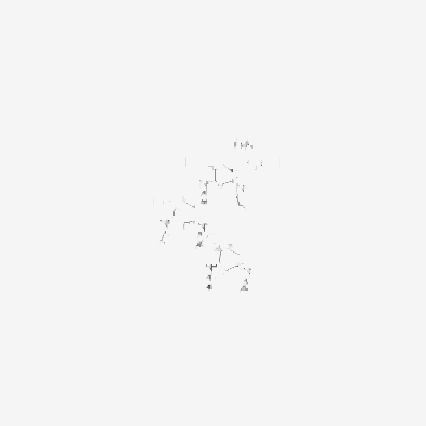 CCC(CO)(CO)CO.Cc1ccc(N=C=O)cc1N=C=O.Cc1ccc(N=C=O)cc1N=C=O.Cc1ccc(N=C=O)cc1N=C=O